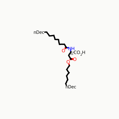 CCCCCCCCCCCCCCCCCC(=O)N[C@@H](CC(=O)OCCCCCCCCCCCCCCCC)C(=O)O